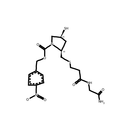 NC(=O)CNC(=O)CCSC[C@@H]1C[C@H](S)CN1C(=O)OCc1ccc([N+](=O)[O-])cc1